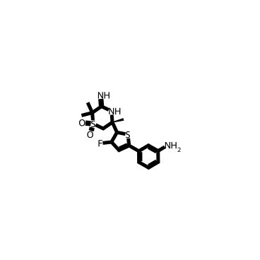 CC1(C)C(=N)N[C@](C)(C2SC(c3cccc(N)c3)=CC2F)CS1(=O)=O